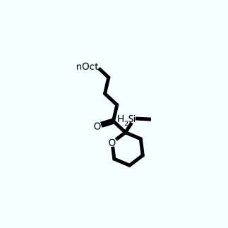 CCCCCCCCCCCC(=O)C1([SiH2]C)CCCCO1